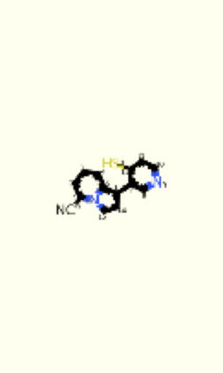 N#Cc1cccc2c(-c3cnccc3S)ccn12